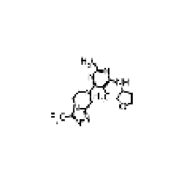 Cc1nc(N[C@@H]2CCOC2)c(C)c(N2CCn3c(nnc3C(F)(F)F)C2)n1